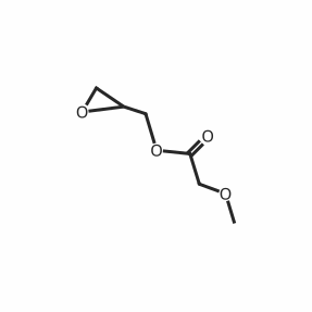 COCC(=O)OCC1CO1